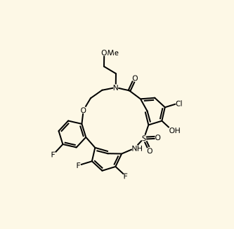 COCCN1CCOc2ccc(F)cc2-c2cc(c(F)cc2F)NS(=O)(=O)c2cc(cc(Cl)c2O)C1=O